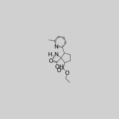 CCOC(=O)C1CCC(c2cccc(C)n2)C1(N)C(=O)O